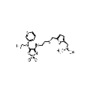 CN(C)Cc1ccc(CSCCNC2=NS(=O)(=O)N=C2N(C)c2cccnc2)o1